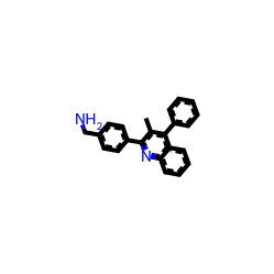 Cc1c(-c2ccc(CN)cc2)nc2ccccc2c1-c1ccccc1